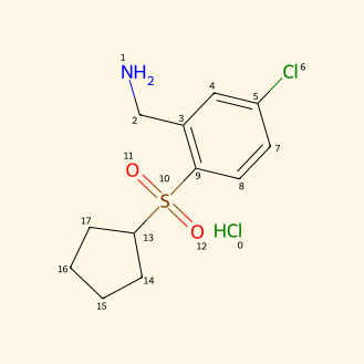 Cl.NCc1cc(Cl)ccc1S(=O)(=O)C1CCCC1